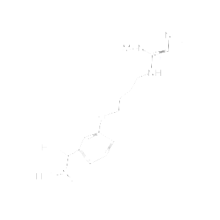 CN/C(=C\[N+](=O)[O-])NCCCCOc1cccc(C(C)N(C)C)c1